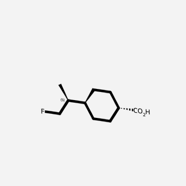 C[C@H](CF)[C@H]1CC[C@H](C(=O)O)CC1